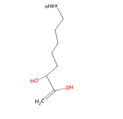 C=C(O)C(O)CCCCCCCCCCC